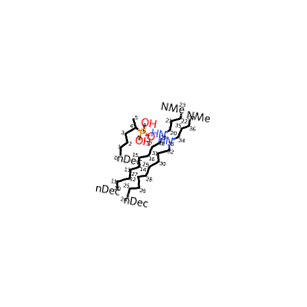 CCCCCCCCCCCCCC(C)P(=O)(O)O.CCCCCCCCCCCCCCCCCCNCCCNC.CCCCCCCCCCCCCCCCCCNCCCNC